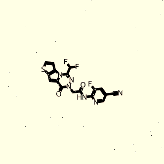 N#Cc1cnc(NC(=O)Cn2nc(C(F)F)n3c(cc4sccc43)c2=O)c(F)c1